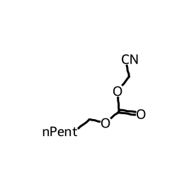 CCCCCCOC(=O)OCC#N